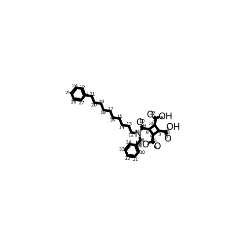 O=C(O)C1C(C(=O)O)C(C(=O)N(CCCCCCCCCCc2ccccc2)Cc2ccccc2)C1C(=O)O